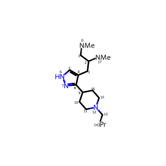 CNCC(Cc1c[nH]nc1C1CCN(CC(C)C)CC1)NC